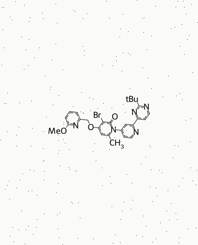 COc1cccc(COc2cc(C)n(-c3ccnc(-c4ccnc(C(C)(C)C)n4)c3)c(=O)c2Br)n1